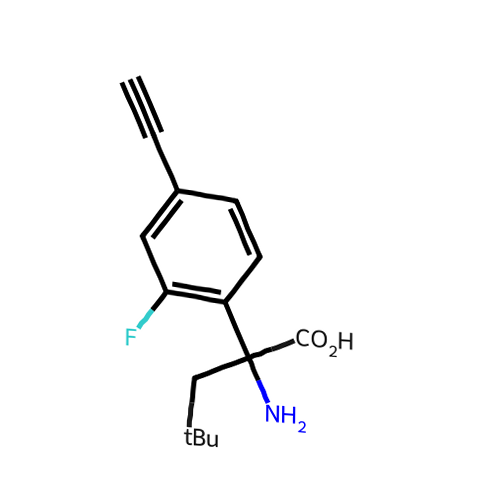 C#Cc1ccc(C(N)(CC(C)(C)C)C(=O)O)c(F)c1